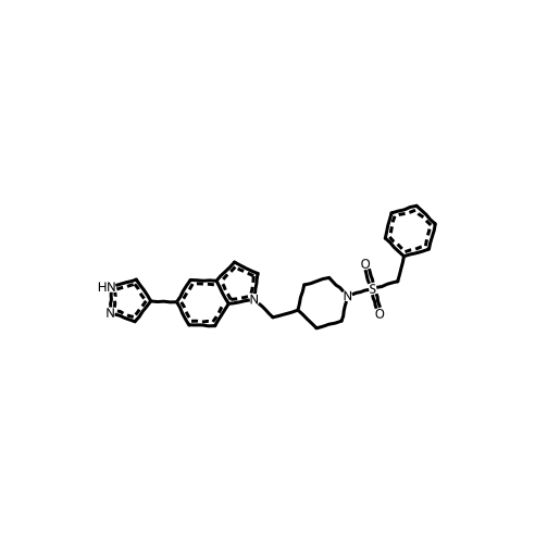 O=S(=O)(Cc1ccccc1)N1CCC(Cn2ccc3cc(-c4cn[nH]c4)ccc32)CC1